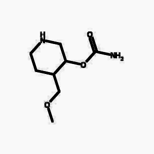 COCC1CCNCC1OC(N)=O